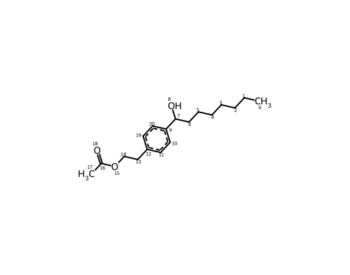 CCCCCCCC(O)c1ccc(CCOC(C)=O)cc1